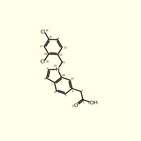 O=C(O)Cc1ccc2ccn(Cc3ccc(Cl)cc3Cl)c2c1